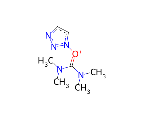 CN(C)C(=[O+]n1ccnn1)N(C)C